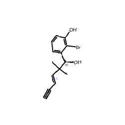 C#C/C=C/C(C)(C)[C@H](O)c1cccc(O)c1Br